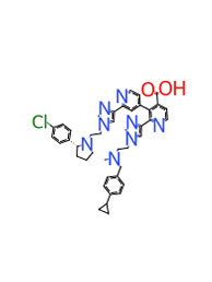 CN(CCn1cnc(-c2nccc(C(=O)O)c2-c2ccnc(-c3cn(CCN4CCC[C@@H]4c4ccc(Cl)cc4)cn3)c2)c1)Cc1ccc(C2CC2)cc1